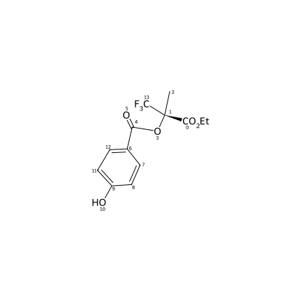 CCOC(=O)[C@@](C)(OC(=O)c1ccc(O)cc1)C(F)(F)F